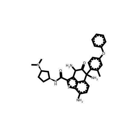 Cc1cc(Oc2ccccc2)ccc1C1(N)C(=O)C(N)c2c(C(=O)N[C@H]3CC[C@@H](N(C)C)C3)sc3c(N)ccc1c23